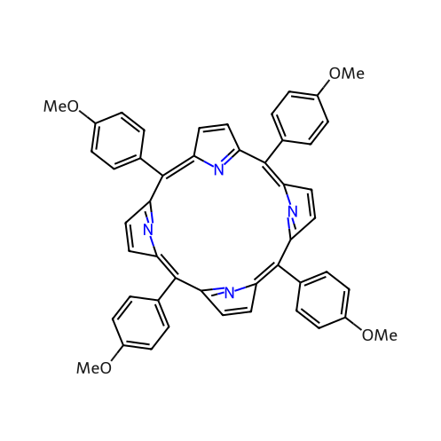 COc1ccc(C2=C3C=CC(=N3)C(c3ccc(OC)cc3)=C3C=CC(=N3)C(c3ccc(OC)cc3)=C3C=CC(=N3)C(c3ccc(OC)cc3)=C3C=CC2=N3)cc1